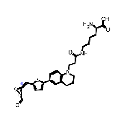 NC(CCCCNC(=O)CCN1CCCc2cc(-c3ccc(/C=C4/SN4C=O)s3)ccc21)C(=O)O